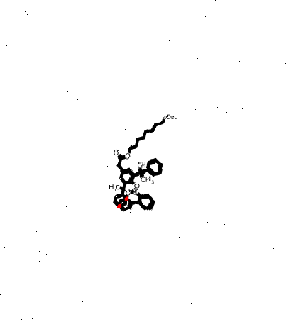 CCCCCCCCCCCCCCCCCCOC(=O)Cc1cc(C(C)(C)c2ccccc2)c(OP2Oc3ccccc3-c3ccccc32)c(C(C)(C)c2ccccc2)c1